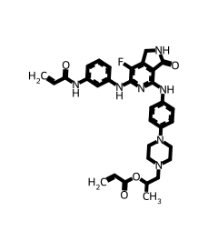 C=CC(=O)Nc1cccc(Nc2nc(Nc3ccc(N4CCN(CC(C)OC(=O)C=C)CC4)cc3)c3c(c2F)CNC3=O)c1